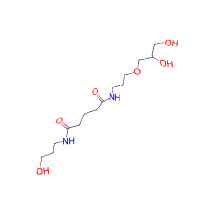 O=C(CCCC(=O)NCCCOCC(O)CO)NCCCO